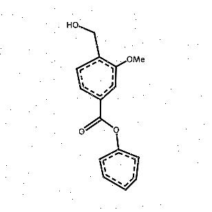 COc1cc(C(=O)Oc2ccccc2)ccc1CO